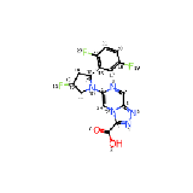 O=C(O)c1nnc2cnc(N3C[C@@H](F)C[C@@H]3c3cc(F)ccc3F)cn12